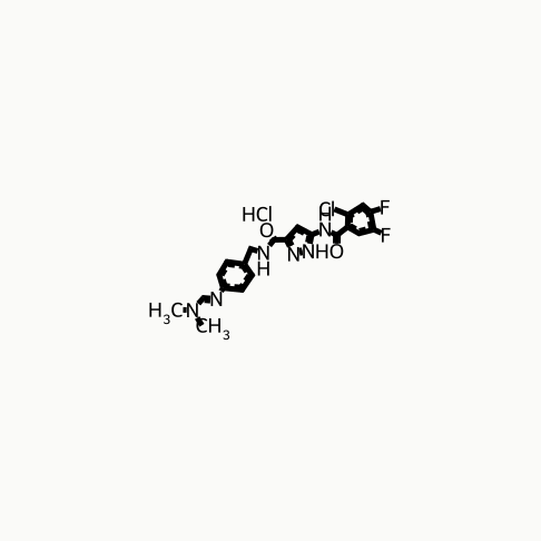 CN(C)C=Nc1ccc(CNC(=O)c2cc(NC(=O)c3cc(F)c(F)cc3Cl)[nH]n2)cc1.Cl